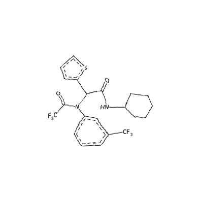 O=C(NC1CCCCC1)C(c1cccs1)N(C(=O)C(F)(F)F)c1cccc(C(F)(F)F)c1